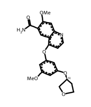 COc1cc(Oc2ccnc3cc(OC)c(C(N)=O)cc23)cc(O[C@H]2CCOC2)c1